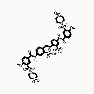 COc1ccc(C(=O)Nc2ccc(C=Cc3ccc(NC(=O)c4ccc(OC)c(S(=O)(=O)N5CCS(=O)(=O)CC5)c4)cc3S(=O)(=O)O)c(S(=O)(=O)O)c2)cc1S(=O)(=O)N1CCS(=O)(=O)CC1